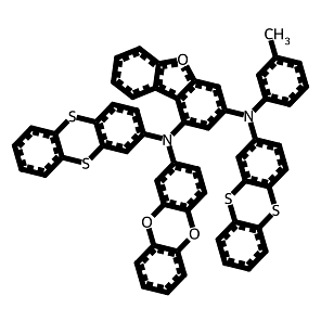 Cc1cccc(N(c2ccc3c(c2)Sc2ccccc2S3)c2cc(N(c3ccc4c(c3)Oc3ccccc3O4)c3ccc4c(c3)Sc3ccccc3S4)c3c(c2)oc2ccccc23)c1